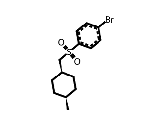 C[C@H]1CC[C@@H](CS(=O)(=O)c2ccc(Br)cc2)CC1